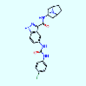 CN1C2CCC1CC(NC(=O)c1n[nH]c3ccc(NC(=O)Nc4ccc(F)cc4)cc13)C2